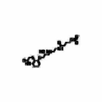 O=C(CCCO[N+](=O)[O-])NCCNCC(O)COc1cccc2c1SCC(=O)N2